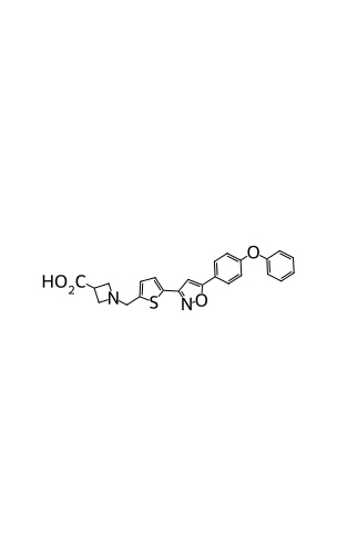 O=C(O)C1CN(Cc2ccc(-c3cc(-c4ccc(Oc5ccccc5)cc4)on3)s2)C1